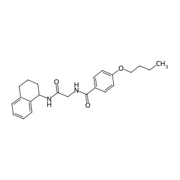 CCCCOc1ccc(C(=O)NCC(=O)NC2CCCc3ccccc32)cc1